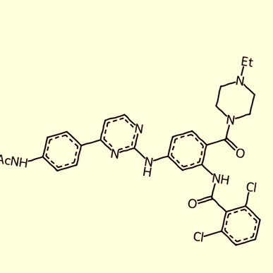 CCN1CCN(C(=O)c2ccc(Nc3nccc(-c4ccc(NC(C)=O)cc4)n3)cc2NC(=O)c2c(Cl)cccc2Cl)CC1